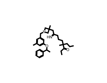 CCCC(C)(CCCC(=N)CC1(C)CN(Cc2cc(C)cc(OC(C)c3ccccc3)c2)C1)C(=O)CC